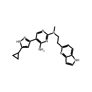 CN(CCc1ccc2[nH]ccc2n1)c1ncc(-c2cc(C3CC3)[nH]n2)c(N)n1